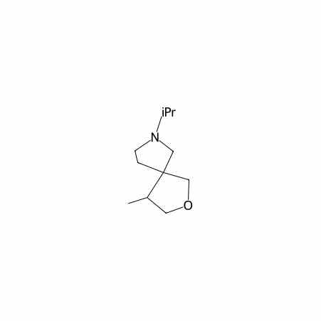 CC(C)N1CCC2(COCC2C)C1